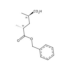 C[C@H](C[C@@H](C)C(=O)OCc1ccccc1)C(=O)O